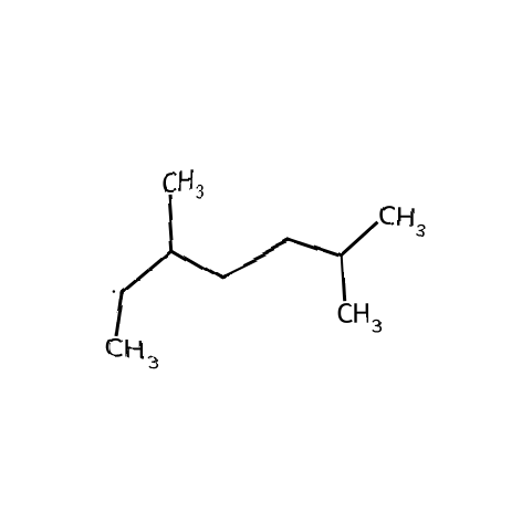 C[CH]C(C)CCC(C)C